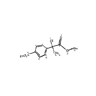 CCOC(=O)c1ccc(C(C)(C#N)C(=O)OC(C)(C)C)nc1